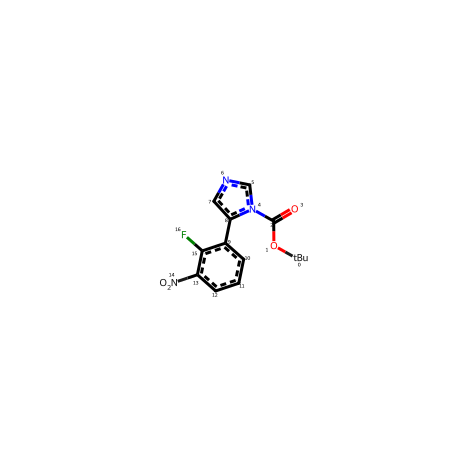 CC(C)(C)OC(=O)n1cncc1-c1cccc([N+](=O)[O-])c1F